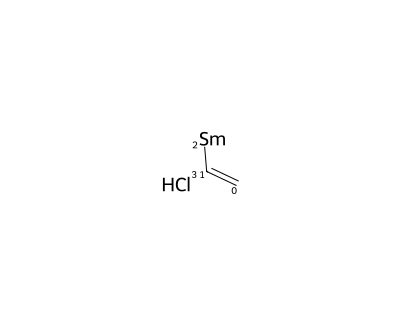 C=[CH][Sm].Cl